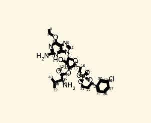 CCOc1nc(N)nc2c1ncn2[C@@H]1O[C@H](CO[P@@]2(=O)OCC[C@@H](c3cccc(Cl)c3)O2)[C@@H](OC(=O)[C@@H](N)C(C)C)[C@@]1(C)O